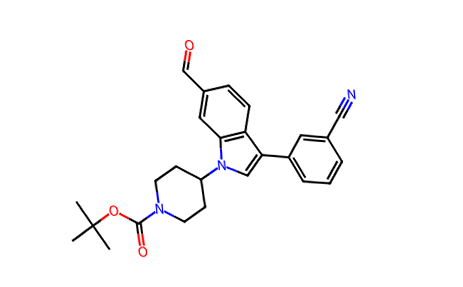 CC(C)(C)OC(=O)N1CCC(n2cc(-c3cccc(C#N)c3)c3ccc(C=O)cc32)CC1